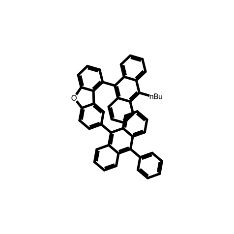 CCCCc1c2ccccc2c(-c2cccc3oc4ccc(-c5c6ccccc6c(-c6ccccc6)c6ccccc56)cc4c23)c2ccccc12